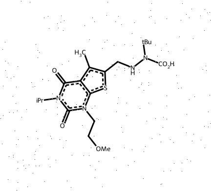 COCCn1c(=O)n(C(C)C)c(=O)c2c(C)c(CNN(C(=O)O)C(C)(C)C)sc21